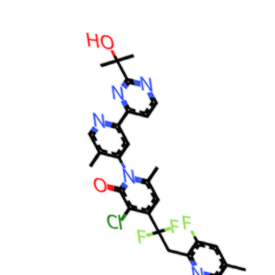 Cc1cnc(CC(F)(F)c2cc(C)n(-c3cc(-c4ccnc(C(C)(C)O)n4)ncc3C)c(=O)c2Cl)c(F)c1